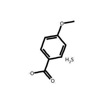 COc1ccc(C([O])=O)cc1.S